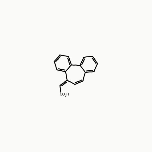 O=C(O)C=C1C=Cc2ccccc2-c2ccccc21